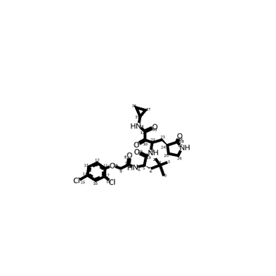 CC(C)(C)C[C@H](NC(=O)COc1ccc(Cl)cc1Cl)C(=O)NC(C[C@@H]1CCNC1=O)C(=O)C(=O)NC1CC1